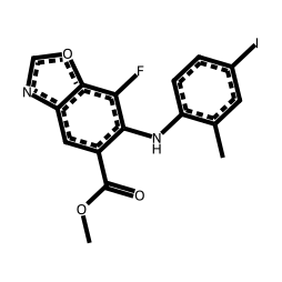 COC(=O)c1cc2ncoc2c(F)c1Nc1ccc(I)cc1C